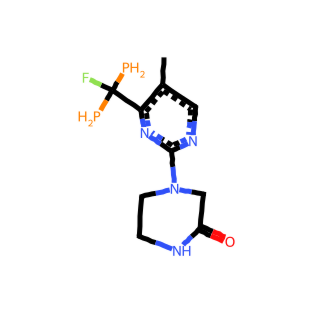 Cc1cnc(N2CCNC(=O)C2)nc1C(F)(P)P